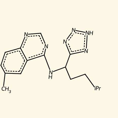 Cc1ccc2ncnc(NC(CCC(C)C)c3nn[nH]n3)c2c1